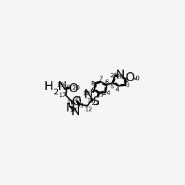 COc1ccc(-c2ccc3nc(Cc4nnc(CC(N)=O)o4)sc3c2)cn1